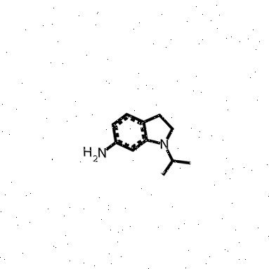 CC(C)N1CCc2ccc(N)cc21